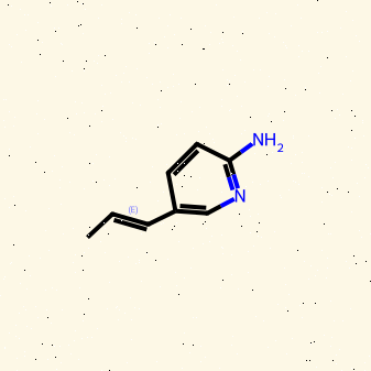 C/C=C/c1ccc(N)nc1